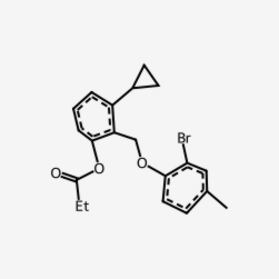 CCC(=O)Oc1cccc(C2CC2)c1COc1ccc(C)cc1Br